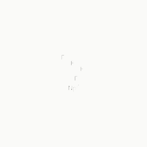 [F-].[F-].[F-].[F-].[Np+4]